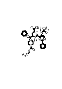 CCOC(=O)N1CCN(C(=O)C(CCC(=O)O)NC(=O)c2nc(-c3ccccc3)ncc2NC(C)=O)CC1.c1ccccc1